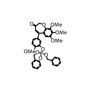 COc1ccc(C2=CC(=O)COc3c2cc(OC)c(OC)c3OC)cc1OP(=O)(OCc1ccccc1)OCc1ccccc1